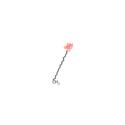 CCCCCCCCCCCCCCCCCCOP([O])(=O)O